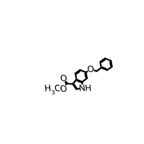 COC(=O)c1c[nH]c2cc(OCc3ccccc3)ccc12